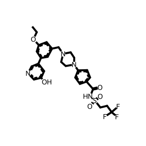 CCOc1cc(CN2CCN(c3ccc(C(=O)NS(=O)(=O)CCC(F)(F)F)cc3)CC2)cc(-c2cncc(O)c2)c1